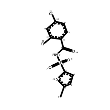 Cc1ccc(S(=O)(=O)NC(=O)c2ccc(Cl)cc2Cl)s1